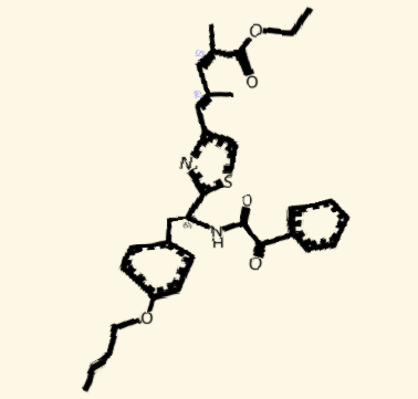 CCCCOc1ccc(C[C@H](NC(=O)C(=O)c2ccccc2)c2nc(/C=C(C)/C=C(/C)C(=O)OCC)cs2)cc1